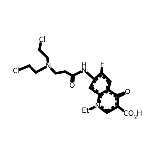 CCn1cc(C(=O)O)c(=O)c2cc(F)c(NC(=O)CCN(CCCl)CCCl)cc21